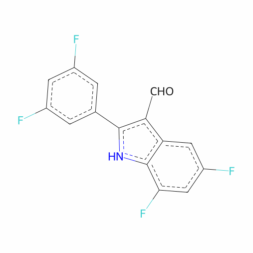 O=Cc1c(-c2cc(F)cc(F)c2)[nH]c2c(F)cc(F)cc12